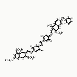 Cc1cc(N=Nc2cc3c(S(=O)(=O)O)cc(S(=O)(=O)O)cc3cc2S(=O)(=O)O)c(C)cc1N=Nc1cc(C)c(N=Nc2c(S(=O)(=O)O)cc3cc(Nc4ccccc4)ccc3c2O)cc1C